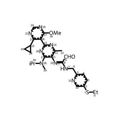 CCSc1ccc(CN/C(C=O)=N/c2c(C)nc(-c3c(OC)ncnc3C3CC3)nc2N(C)C(C)C)nc1